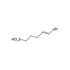 CCC/C=C/CCCS(=O)(=O)O